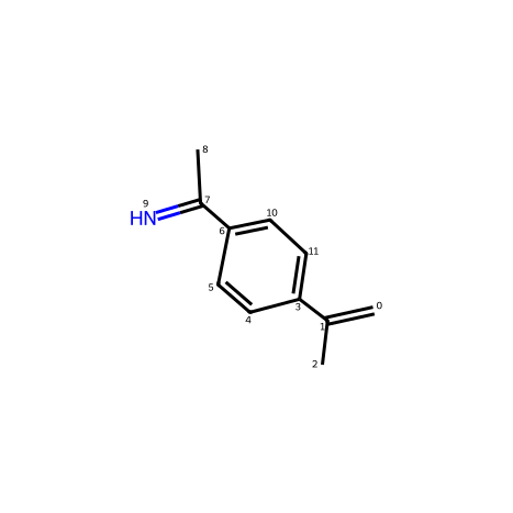 C=C(C)c1ccc(C(C)=N)cc1